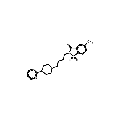 Cc1ccc2c(c1)C(=O)N(CCCCN1CCN(c3ncccn3)CC1)S2(=O)=O